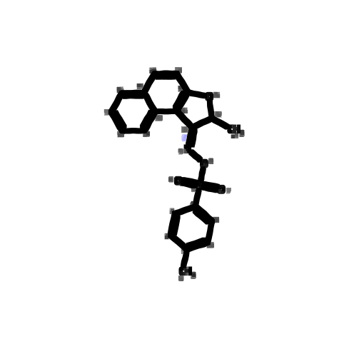 Cc1ccc(S(=O)(=O)O/N=C2/c3c(ccc4ccccc34)OC2C)cc1